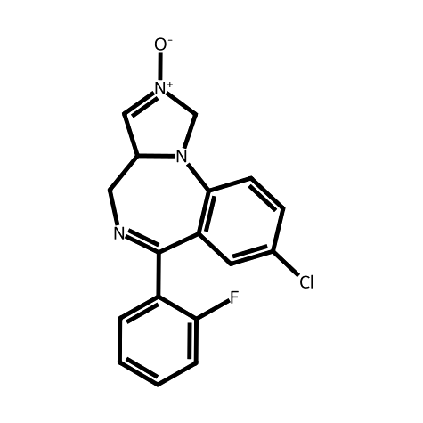 [O-][N+]1=CC2CN=C(c3ccccc3F)c3cc(Cl)ccc3N2C1